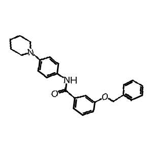 O=C(Nc1ccc(N2CCCCC2)cc1)c1cccc(OCc2ccccc2)c1